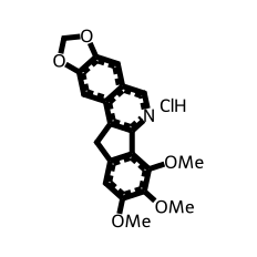 COc1cc2c(c(OC)c1OC)-c1ncc3cc4c(cc3c1C2)OCO4.Cl